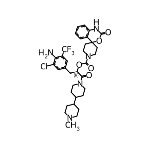 CN1CCC(C2CCN(C(=O)[C@@H](Cc3cc(Cl)c(N)c(C(F)(F)F)c3)OC(=O)N3CCC4(CC3)OC(=O)Nc3ccccc34)CC2)CC1